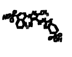 Cc1nn(-c2ccc(S(=O)(=O)O)c3ccccc23)c(N)c1/N=N/c1nc2cc(S(=O)(=O)O)ccc2s1